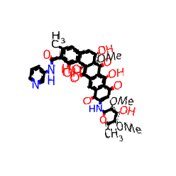 CO[C@@H]1[C@@H](O)[C@@H](OC)C(NC2=CC(=O)c3c(cc4c(c3O)C(=O)[C@]3(OC)[C@H](O)Cc5cc(C)c(C(=O)Nc6cccnc6)c(O)c5[C@]3(O)C4=O)C2=O)O[C@H]1C